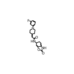 O=C(C=C1CCN(c2cccc(F)c2)CC1)NC1C=c2oc(=O)[nH]c2=CC1